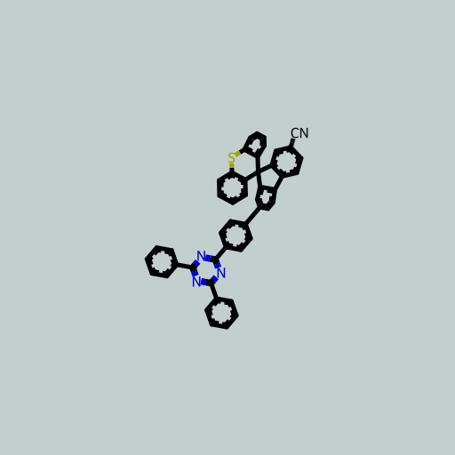 N#Cc1ccc2c(c1)C1(c3ccccc3Sc3ccccc31)c1cc(-c3ccc(-c4nc(-c5ccccc5)nc(-c5ccccc5)n4)cc3)ccc1-2